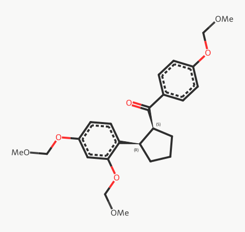 COCOc1ccc(C(=O)[C@H]2CCC[C@H]2c2ccc(OCOC)cc2OCOC)cc1